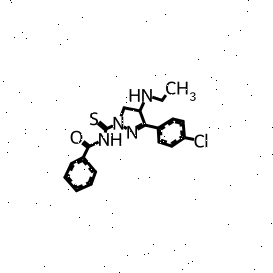 CCNC1CN(C(=S)NC(=O)c2ccccc2)N=C1c1ccc(Cl)cc1